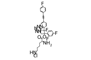 N[C@@H](CCCCNCl)C(=O)OC(Cn1cnnn1)(c1ccc(F)cc1F)C(F)(F)c1ccc(C#Cc2ccc(F)cc2)cn1